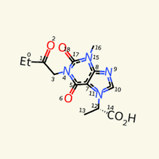 CCC(=O)Cn1c(=O)c2c(ncn2[C@@H](C)C(=O)O)n(C)c1=O